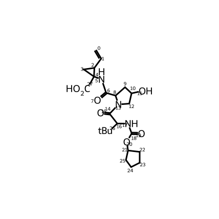 C=CC1CC1(NC(=O)C1CC(O)CN1C(=O)C(NC(=O)OC1CCCC1)C(C)(C)C)C(=O)O